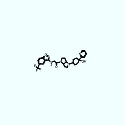 O=C(CNc1noc2ccc(C(F)(F)F)cc12)N1CCC2C1CCN2C1CCC(O)(c2ccccn2)CC1